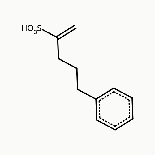 C=C(CCCc1ccccc1)S(=O)(=O)O